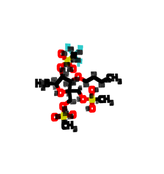 B[C@@H]1OC(COS(C)(=O)=O)(COS(C)(=O)=O)[C@@H](OCCCC)[C@@H]1OS(=O)(=O)C(F)(F)F